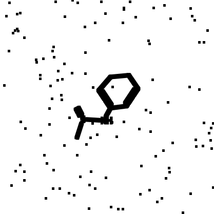 C=S(C)NC1=CCCC=C1